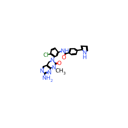 CN1C(=O)N(c2cc(NC(=O)c3ccc(-c4ccc[nH]4)cc3)ccc2Cl)Cc2cnc(N)nc21